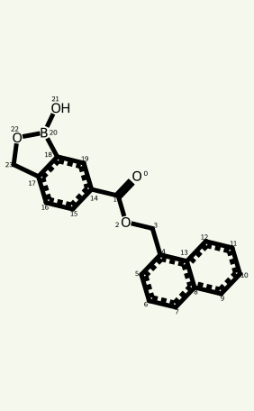 O=C(OCc1cccc2ccccc12)c1ccc2c(c1)B(O)OC2